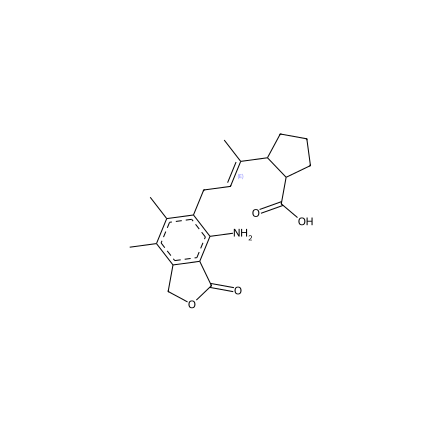 C/C(=C\Cc1c(C)c(C)c2c(c1N)C(=O)OC2)C1CCCC1C(=O)O